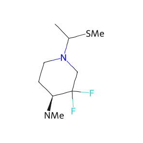 CN[C@H]1CCN(C(C)SC)CC1(F)F